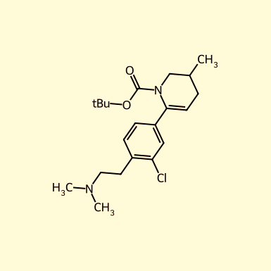 CC1CC=C(c2ccc(CCN(C)C)c(Cl)c2)N(C(=O)OC(C)(C)C)C1